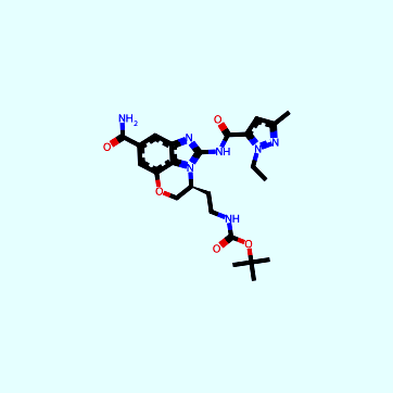 CCn1nc(C)cc1C(=O)Nc1nc2cc(C(N)=O)cc3c2n1[C@@H](CCNC(=O)OC(C)(C)C)CO3